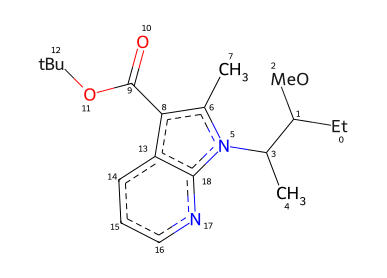 CCC(OC)C(C)n1c(C)c(C(=O)OC(C)(C)C)c2cccnc21